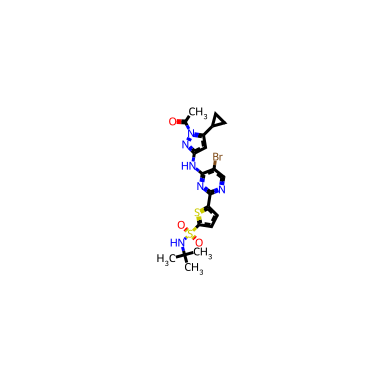 CC(=O)n1nc(Nc2nc(-c3ccc(S(=O)(=O)NC(C)(C)C)s3)ncc2Br)cc1C1CC1